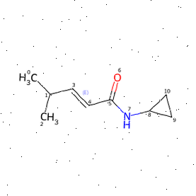 CC(C)/C=C/C(=O)NC1CC1